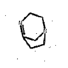 C1CN2CCC(=N1)C2